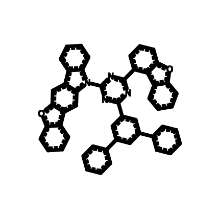 c1ccc(-c2cc(-c3ccccc3)cc(-c3nc(-c4cccc5oc6ccccc6c45)nc(-n4c5ccccc5c5cc6oc7ccccc7c6cc54)n3)c2)cc1